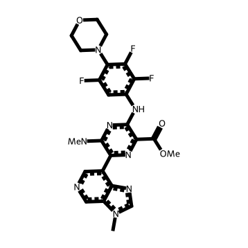 CNc1nc(Nc2cc(F)c(N3CCOCC3)c(F)c2F)c(C(=O)OC)nc1-c1cncc2c1ncn2C